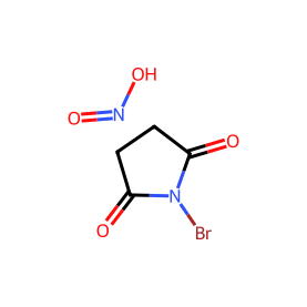 O=C1CCC(=O)N1Br.O=NO